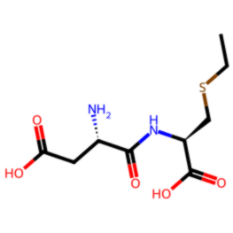 CCSC[C@H](NC(=O)[C@@H](N)CC(=O)O)C(=O)O